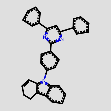 C1=Cc2c(c3ccccc3n2-c2ccc(-c3nc(-c4ccccc4)cc(-c4ccccc4)n3)cc2)CC1